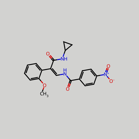 COc1ccccc1C(=CNC(=O)c1ccc([N+](=O)[O-])cc1)C(=O)NC1CC1